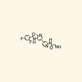 Cc1ncc(-c2ccnc(NC(=O)C=N)c2)cc1NC(=O)c1ccc(F)cc1F